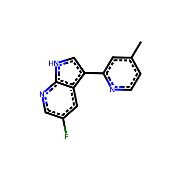 Cc1ccnc(-c2c[nH]c3ncc(F)cc23)c1